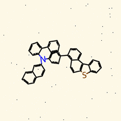 c1ccc(-c2ccccc2N(c2ccc(-c3cccc4c3ccc3sc5ccccc5c34)cc2)c2ccc3ccccc3c2)cc1